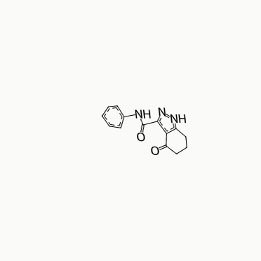 O=C(Nc1ccccc1)c1n[nH]c2c1C(=O)CCC2